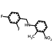 Cc1c(NCc2ccc(F)cc2F)cccc1[N+](=O)[O-]